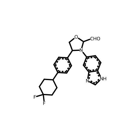 O=CC1OCC(c2ccc(C3CCC(F)(F)CC3)cc2)N1c1ccc2[nH]cnc2c1